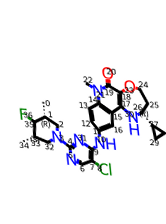 C[C@@H]1CN(c2ncc(Cl)c(Nc3ccc4c(c3)c3c(c(=O)n4C)OCC[C@H](C4CC4)N3)n2)C[C@H](C)C1F